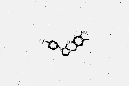 Cc1cc(CN2C=CN(c3ccc(C(F)(F)F)cc3)C2C=O)ccc1[N+](=O)[O-]